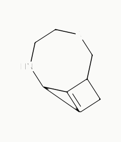 C1CSCC2CC3=C2C3N1